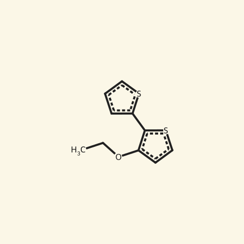 CCOc1ccsc1-c1cccs1